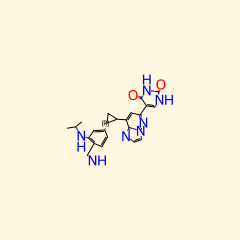 CC(C)Nc1cc([C@@H]2CC2c2cc(-c3c[nH]c(=O)[nH]c3=O)nn3ccnc23)ccc1C=N